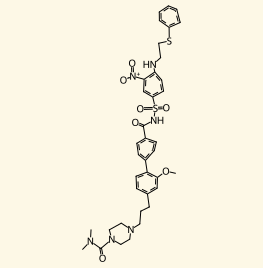 COc1cc(CCCN2CCN(C(=O)N(C)C)CC2)ccc1-c1ccc(C(=O)NS(=O)(=O)c2ccc(NCCSc3ccccc3)c([N+](=O)[O-])c2)cc1